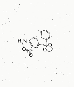 Nc1ccc(C2(c3ccccc3)OCCO2)cc1[N+](=O)[O-]